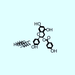 CC(=O)O.CC(=O)O.CC(=O)O.CC(=O)O.O=C(O[C@H]1Cc2c(O)cc(O)cc2O[C@@H]1c1ccc(O)cc1)c1ccc(O)cc1